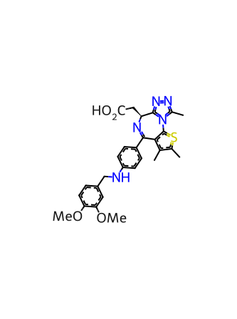 COc1ccc(CNc2ccc(C3=N[C@@H](CC(=O)O)c4nnc(C)n4-c4sc(C)c(C)c43)cc2)cc1OC